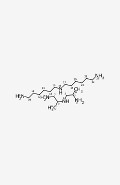 CC(N)CNC(C)CN.NCCCCCCNCCCCCCN